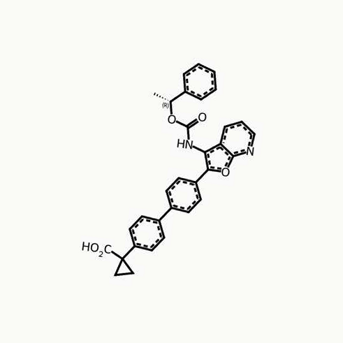 C[C@@H](OC(=O)Nc1c(-c2ccc(-c3ccc(C4(C(=O)O)CC4)cc3)cc2)oc2ncccc12)c1ccccc1